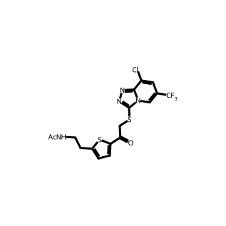 CC(=O)NCCc1ccc(C(=O)CSc2nnc3c(Cl)cc(C(F)(F)F)cn23)s1